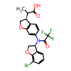 CC(C(=O)O)[C@@H]1COc2cc(N(C(=O)C(F)(F)F)[C@@H]3COc4c(Br)cccc43)ccc21